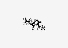 CC1=C(C(=O)O[Si](C)(C)C)N2C(=O)C(NC(=O)C(Cl)Cl)[C@H]2SC1